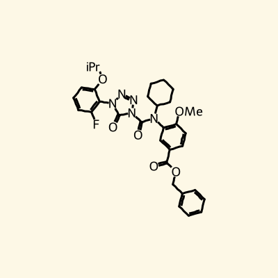 COc1ccc(C(=O)OCc2ccccc2)cc1N(C(=O)n1nnn(-c2c(F)cccc2OC(C)C)c1=O)C1CCCCC1